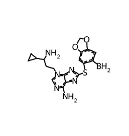 Bc1cc2c(cc1Sc1nc3c(N)ncn(CCC(N)C4CC4)c-3n1)OCO2